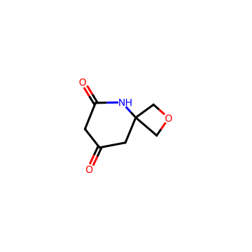 O=C1CC(=O)NC2(COC2)C1